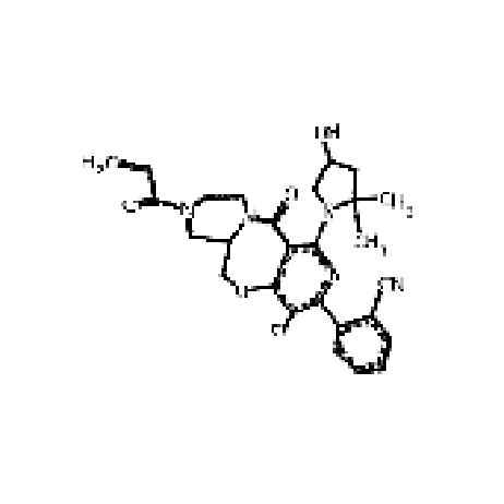 C=CC(=O)N1CCN2C(=O)c3c(N4CC(O)CC4(C)C)nc(-c4ccccc4C#N)c(Cl)c3OCC2C1